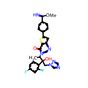 COC(=N)c1ccc(-c2cc3ncn(C(C)C(O)(Cn4cncn4)c4ccc(F)cc4F)c(=O)c3s2)cc1